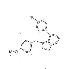 COc1ccc(Cn2ccc3cccc(-c4ccc(C#N)cc4)c32)cc1